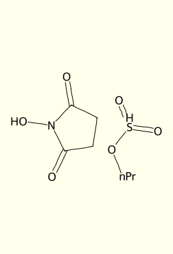 CCCO[SH](=O)=O.O=C1CCC(=O)N1O